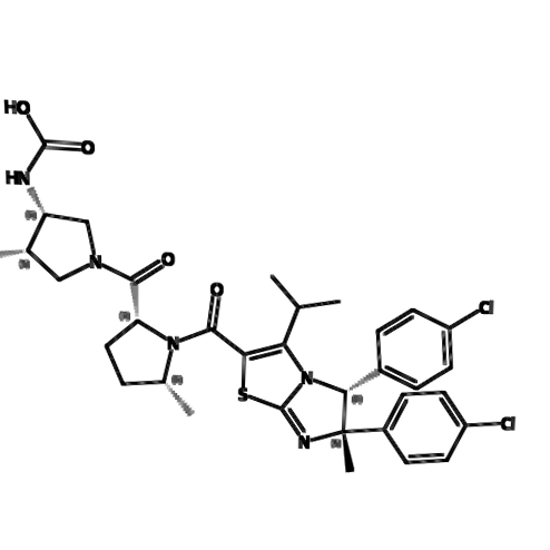 CC(C)C1=C(C(=O)N2[C@H](C)CC[C@@H]2C(=O)N2C[C@H](F)[C@H](NC(=O)O)C2)SC2=N[C@@](C)(c3ccc(Cl)cc3)[C@@H](c3ccc(Cl)cc3)N21